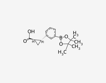 CC1(C)OB(c2cccc([C@@H]3C[C@H]3C(=O)O)c2)OC1(C)C